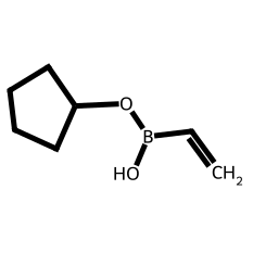 C=CB(O)OC1CCCC1